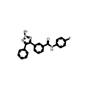 CC(C)n1nc(-c2ccccc2)c(-c2cccc(C(=O)Nc3ccc(F)cc3)c2)n1